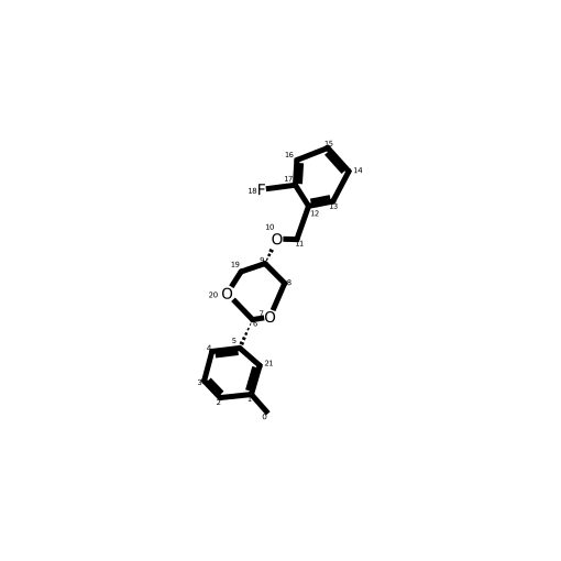 Cc1cccc([C@H]2OC[C@@H](OCc3ccccc3F)CO2)c1